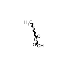 CCCSCCCC(=O)OCC(=O)O